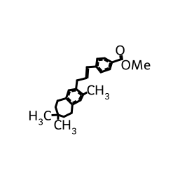 COC(=O)c1ccc(C=CCc2cc3c(cc2C)CCC(C)(C)CC3)cc1